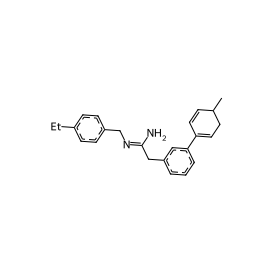 CCc1ccc(C/N=C(\N)Cc2cccc(C3=CCC(C)C=C3)c2)cc1